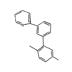 Cc1ccc(C)c(-c2cccc(-c3ccccn3)c2)c1